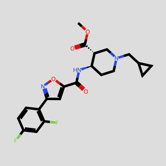 COC(=O)[C@@H]1CN(CC2CC2)CC[C@H]1NC(=O)c1cc(-c2ccc(F)cc2F)no1